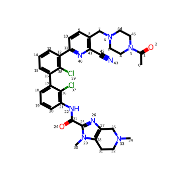 CC(=O)N1CCN(Cc2ccc(-c3cccc(-c4cccc(NC(=O)c5nc6c(n5C)CCN(C)C6)c4Cl)c3Cl)nc2C#N)CC1